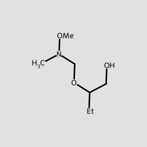 CCC(CO)OCN(C)OC